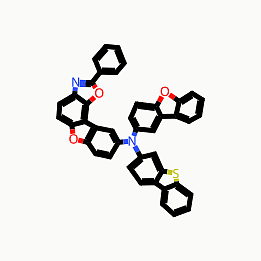 c1ccc(-c2nc3ccc4oc5ccc(N(c6ccc7c(c6)sc6ccccc67)c6ccc7oc8ccccc8c7c6)cc5c4c3o2)cc1